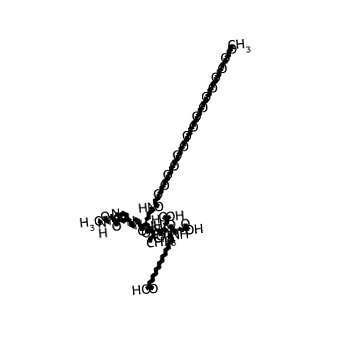 CC[C@H](C)[C@H](NC(=O)[C@H](CCC(=O)O)NC(=O)[C@H](CCC(=O)O)NC(=O)CCCCCCCCCCCCCCC(=O)O)C(=O)N[C@@H](CCCCNC(=O)CCOCCOCCOCCOCCOCCOCCOCCOCCOCCOCCOCCOCCOCCOCCOCCOC)C(=O)N1CCN(c2ccc3ncn(CC(=O)NC)c(=O)c3c2)CC1